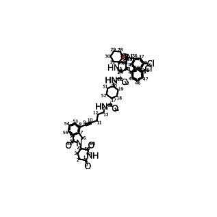 O=C1CCC(N2Cc3c(C#CCCCNC(=O)[C@H]4CC[C@H](NC(=O)[C@@H]5NC6(CCCCC6)[C@@]6(C(=O)Nc7cc(Cl)ccc76)[C@H]5c5cccc(Cl)c5)CC4)cccc3C2=O)C(=O)N1